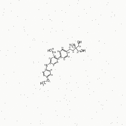 COc1ccc(Sc2ccc(-c3ccc(CCC(N)(CO)CO)cc3)c(F)c2)cc1.Cl